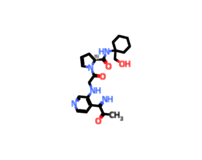 CC(=O)C(=N)c1ccncc1NCC(=O)N1C=CC[C@H]1C(=O)NC1(CO)CCCCC1